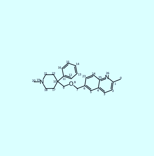 Cc1ccc2cc(COCC3(c4ccccc4)CCN(C)CC3)ccc2n1